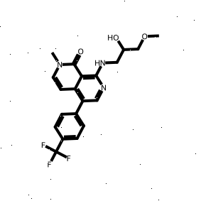 COCC(O)CNc1ncc(-c2ccc(C(F)(F)F)cc2)c2ccn(C)c(=O)c12